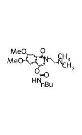 CCCCNC(=O)Oc1cn(CCN(C)C)c(=O)c2cc(OC)c(OC)cc12